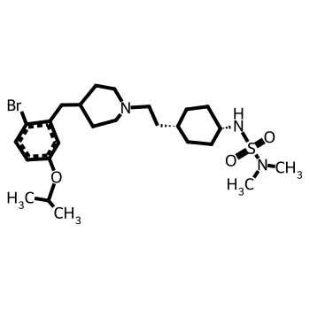 CC(C)Oc1ccc(Br)c(CC2CCN(CC[C@H]3CC[C@@H](NS(=O)(=O)N(C)C)CC3)CC2)c1